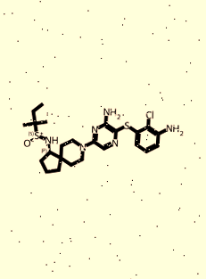 CCC(C)(C)[S@@+]([O-])N[C@@H]1CCCC12CCN(c1cnc(Sc3cccc(N)c3Cl)c(N)n1)CC2